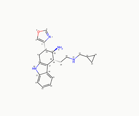 N[C@@H]1[C@@H](c2cocn2)Cc2[nH]c3ccccc3c2[C@H]1CCNCC1CC1